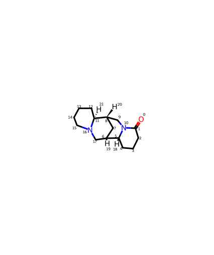 O=C1CCC[C@@H]2[C@H]3C[C@@H](CN12)[C@@H]1CCCCN1C3